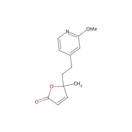 COc1cc(CCC2(C)C=CC(=O)O2)ccn1